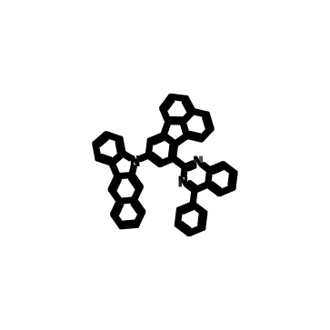 c1ccc(-c2nc(-c3cc(-n4c5ccccc5c5cc6ccccc6cc54)cc4c3-c3cccc5cccc-4c35)nc3ccccc23)cc1